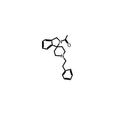 CC(=O)N1Cc2ccccc2C12CCN(CCc1ccccc1)CC2